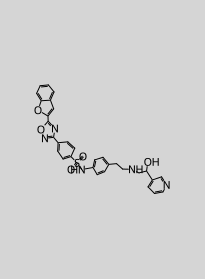 O=S(=O)(Nc1ccc(CCNCC(O)c2cccnc2)cc1)c1ccc(-c2noc(-c3cc4ccccc4o3)n2)cc1